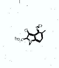 CCOC(=O)C1C(Cl)=C2C(=CC=C(C)C2=S=O)N1C